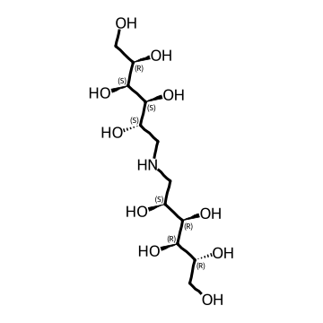 OC[C@@H](O)[C@H](O)[C@@H](O)[C@@H](O)CNC[C@H](O)[C@@H](O)[C@H](O)[C@H](O)CO